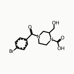 O=C(c1ccc(Br)cc1)N1CCN(C(=O)O)C(CO)C1